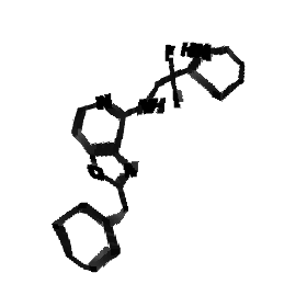 FC(F)(CNc1nccc2oc(Cc3ccccc3)nc12)C1CCCCN1